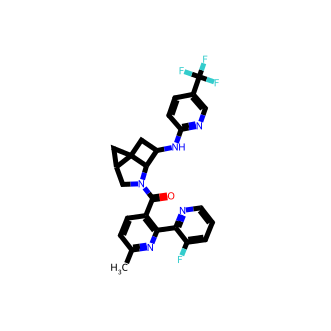 Cc1ccc(C(=O)N2CC3CC34CC(Nc3ccc(C(F)(F)F)cn3)C24)c(-c2ncccc2F)n1